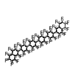 FC1=C(F)C(F)C(F)c2c(F)c(F)c(-c3c(F)c(F)c(-c4c(F)c(F)c(-c5c(F)c(F)c(-c6c(F)c(F)c(-c7c(F)c(F)c8c(F)c(F)c(F)c(F)c8c7F)c(F)c6F)c(F)c5F)c(F)c4F)c(F)c3F)c(F)c21